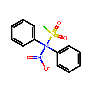 O=[N+]([O-])[N+](c1ccccc1)(c1ccccc1)S(=O)(=O)Cl